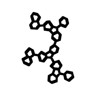 C1=CC2c3cc(-n4c5ccc(-c6ccc7c(c6)c6cc(-c8cccc9ccccc89)ccc6n7-c6ccccc6)cc5c5cc(-c6cccc7ccccc67)ccc54)ccc3N(c3ccccc3)C2C=C1